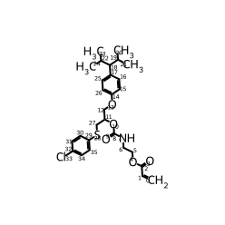 C=CC(=O)OCCNC(=O)OC(COc1ccc(C(C(C)C)C(C)C)cc1)CSc1ccc(Cl)cc1